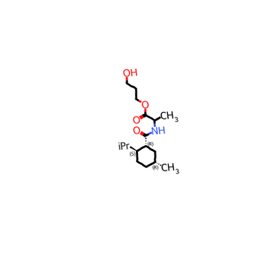 CC(NC(=O)[C@@H]1C[C@H](C)CC[C@H]1C(C)C)C(=O)OCCCO